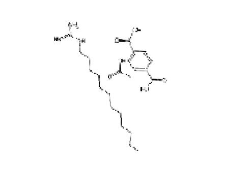 CC(=O)O.CCCCCCCCCCCCNC(=N)N.O=C(O)c1ccc(C(=O)O)cc1